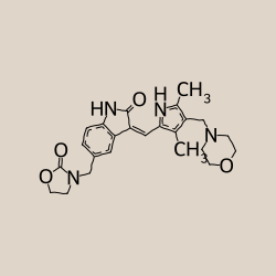 Cc1[nH]c(C=C2C(=O)Nc3ccc(CN4CCOC4=O)cc32)c(C)c1CN1CCOCC1